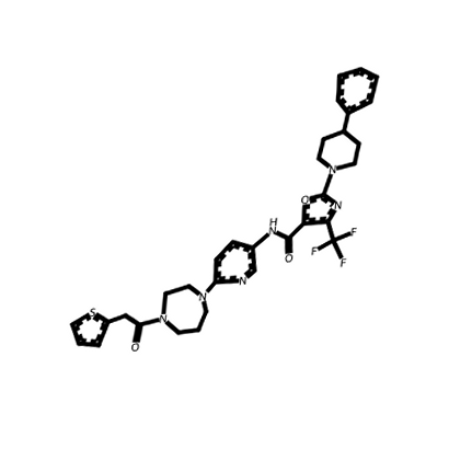 O=C(Nc1ccc(N2CCCN(C(=O)Cc3cccs3)CC2)nc1)c1oc(N2CCC(c3ccccc3)CC2)nc1C(F)(F)F